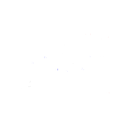 Cc1cc(N(CCCO)c2nc(C(O)O)cs2)nnc1Nc1nc2ccccc2s1